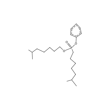 CC(C)CCCCCOP(=O)(CCCCCC(C)C)Oc1ccccc1